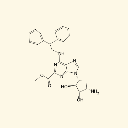 COC(=O)c1nc(NCC(c2ccccc2)c2ccccc2)c2ncn([C@@H]3C[C@H](N)[C@@H](O)[C@H]3O)c2n1